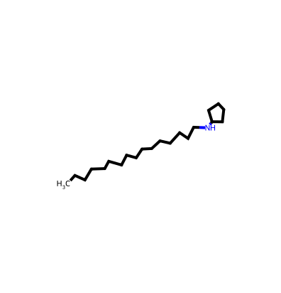 CCCCCCCCCCCCCCCCNC1CCCC1